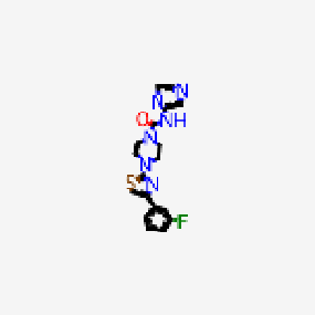 O=C(Nc1cnccn1)N1CCN(c2nc(-c3cccc(F)c3)cs2)CC1